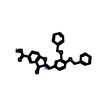 O=C(O)c1ccc2c(c1)C(=O)/C(=C/c1ccc(OCc3ccccc3)c(OCc3ccccc3)c1)O2